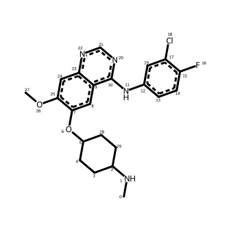 CNC1CCC(Oc2cc3c(Nc4ccc(F)c(Cl)c4)ncnc3cc2OC)CC1